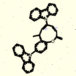 C=C1/C=C\C(n2c3ccccc3c3ccccc32)=C/C(C)c2cc(-n3c4ccccc4c4ccccc43)ccc2O1